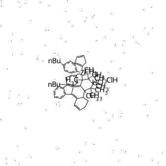 Cl.Cl.[CH2]=[Zr]([C]1=CC=CC1)([c]1ccc(CCCC)cc1)([c]1ccc(CCCC)cc1)[C]1(C)C2=C3Cc4ccccc4C3=C3C=CCCC3C2(C)C(C)(C)C(C)(C)C1(C)C